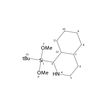 CO[Si](OC)(C1NCCC2CCCCC21)C(C)(C)C